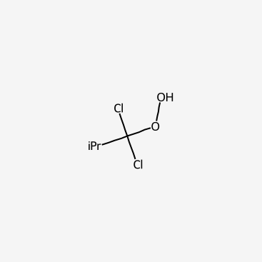 CC(C)C(Cl)(Cl)OO